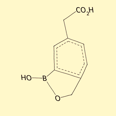 O=C(O)Cc1ccc2c(c1)B(O)OC2